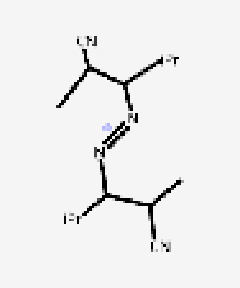 CC(C)C(/N=N/C(C(C)C)C(C)C#N)C(C)C#N